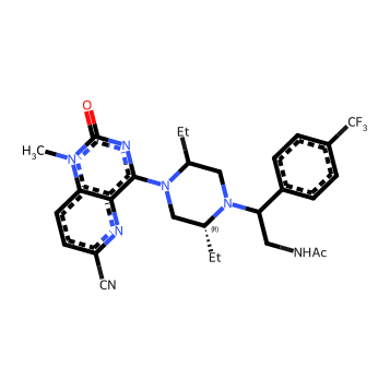 CCC1CN(C(CNC(C)=O)c2ccc(C(F)(F)F)cc2)[C@H](CC)CN1c1nc(=O)n(C)c2ccc(C#N)nc12